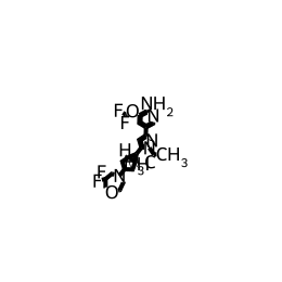 CC(C)n1nc(-c2cnc(N)c(OC(F)F)c2)cc1C1[C@H]2CC(N3CCOCC(F)(F)C3)C[C@@H]12